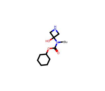 CC(C)(C)N(C(=O)OC1CCCCC1)C1(O)CNC1